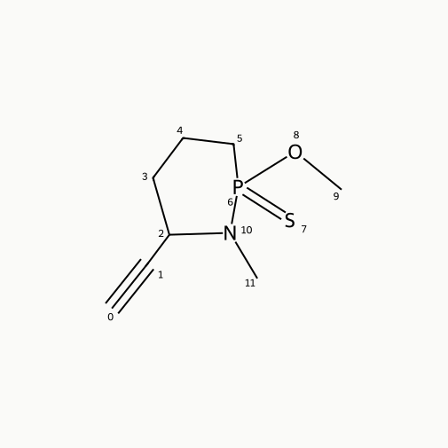 C#CC1CCCP(=S)(OC)N1C